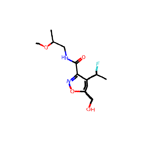 COC(C)CNC(=O)c1noc(CO)c1C(C)F